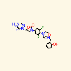 C=NN(/C=C\N)C[C@H]1CN(c2cc(F)c(N3CCON(Cc4ccccc4O)CC3)c(F)c2)C(=O)O1